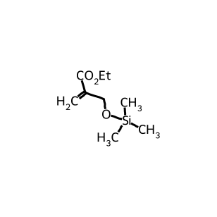 C=C(CO[Si](C)(C)C)C(=O)OCC